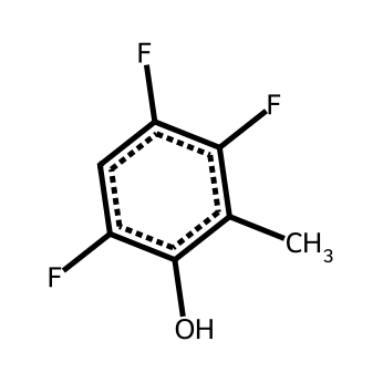 Cc1c(O)c(F)cc(F)c1F